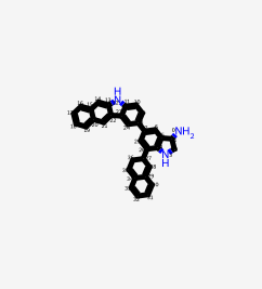 NC1CNc2c1cc(-c1ccc3[nH]c4cc5ccccc5cc4c3c1)cc2C1C=c2ccccc2=CC1